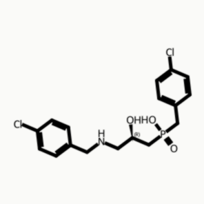 O=P(O)(Cc1ccc(Cl)cc1)C[C@H](O)CNCc1ccc(Cl)cc1